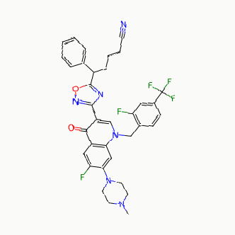 CN1CCN(c2cc3c(cc2F)c(=O)c(-c2noc(C(CCCC#N)c4ccccc4)n2)cn3Cc2ccc(C(F)(F)F)cc2F)CC1